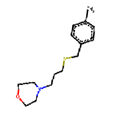 Cc1ccc(CSCCCN2CCOCC2)cc1